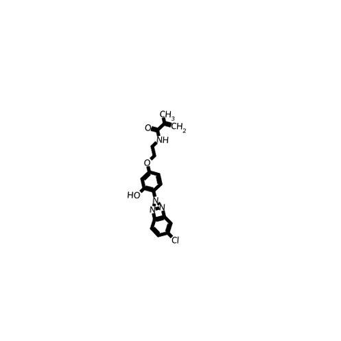 C=C(C)C(=O)NCCOc1ccc(-n2n3c4ccc(Cl)cc4n23)c(O)c1